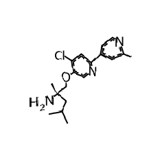 Cc1cc(-c2cc(Cl)c(OC[C@@](C)(N)CC(C)C)cn2)ccn1